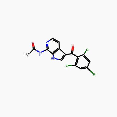 CC(=O)Nc1nccc2c(C(=O)c3c(Cl)cc(Br)cc3Cl)c[nH]c12